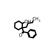 CCCCC1(C(=O)c2ccccc2)CCCCC1O